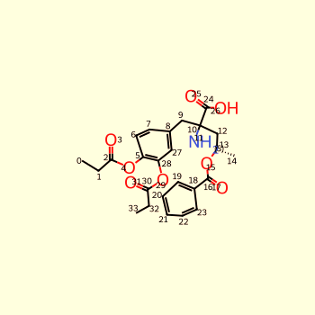 CCC(=O)Oc1ccc(CC(N)(C[C@H](C)OC(=O)c2ccccc2)C(=O)O)cc1OC(=O)CC